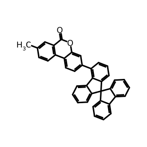 Cc1ccc2c(c1)c(=O)oc1cc(-c3cccc4c3-c3ccccc3C43c4ccccc4-c4ccccc43)ccc12